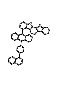 c1ccc2c(-c3ccc(-c4c5ccccc5c(-c5cccc6oc7c(ccc8c9ccccc9sc87)c56)c5ccccc45)cc3)cccc2c1